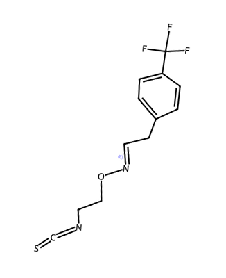 FC(F)(F)c1ccc(C/C=N/OCCN=C=S)cc1